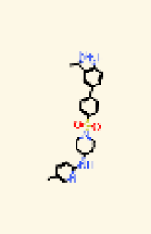 Cc1ccc(NC2CCN(S(=O)(=O)c3ccc(-c4ccc5[nH]nc(C)c5c4)cc3)CC2)nc1